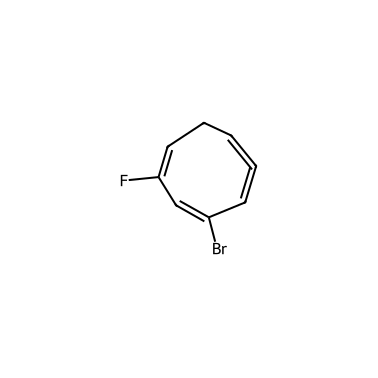 FC1=C/CC=C=C/C(Br)=C\1